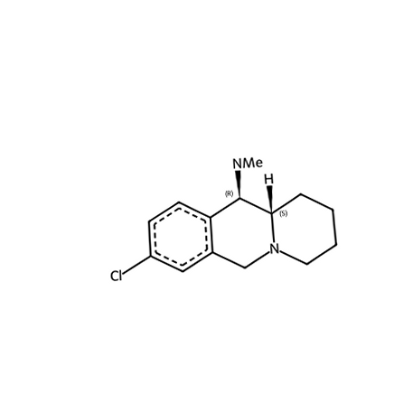 CN[C@@H]1c2ccc(Cl)cc2CN2CCCC[C@@H]12